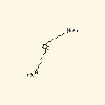 CCCCN=CCCCCCCCc1ccc(CCCCCCCC=NCCCC)o1